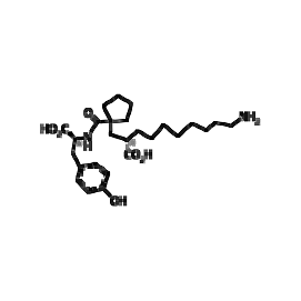 NCCCCCCCC[C@@H](CC1(C(=O)N[C@@H](Cc2ccc(O)cc2)C(=O)O)CCCC1)C(=O)O